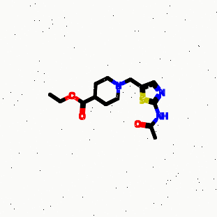 CCOC(=O)C1CCN(Cc2cnc(NC(C)=O)s2)CC1